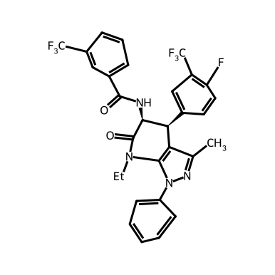 CCN1C(=O)[C@@H](NC(=O)c2cccc(C(F)(F)F)c2)[C@@H](c2ccc(F)c(C(F)(F)F)c2)c2c(C)nn(-c3ccccc3)c21